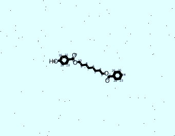 O=C(OCCCCCCCCOC(=O)c1ccc(O)cc1)c1ccccc1